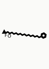 O=C(CCCCCCCCCCCCCCc1ccccc1)CC1(F)CC1